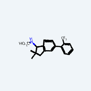 CC1(C)Cc2cc(-c3ccccc3C(F)(F)F)ccc2C1NC(=O)O